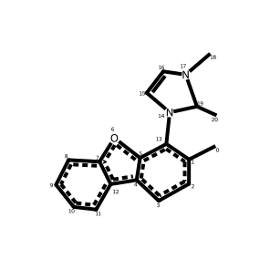 Cc1ccc2c(oc3ccccc32)c1N1C=CN(C)C1C